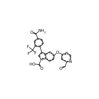 NC(=O)c1ccc(-c2cn(C(=O)O)c3ccc(Oc4cc(C=O)ncn4)cc23)c(C(F)(F)F)c1